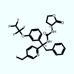 O=C(N[C@H]1CCOC1=O)N[C@@](Cc1ccccc1)(c1cccc(OC(F)(F)C(F)F)c1)c1ccc(CI)cn1